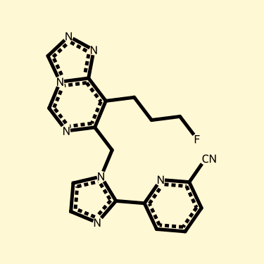 N#Cc1cccc(-c2nccn2Cc2ncn3cnnc3c2CCCF)n1